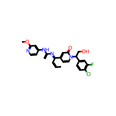 C=C(/N=C(\C=C/C)c1ccn(C(CO)c2ccc(Cl)c(F)c2)c(=O)c1)Nc1ccnc(OC)c1